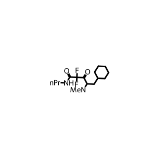 CCCNC(=O)C(F)(F)C(=O)C(CC1CCCCC1)NC